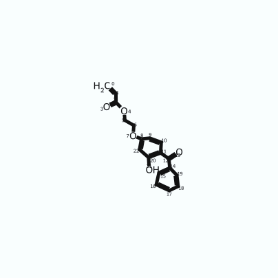 C=CC(=O)OCCOc1ccc(C(=O)c2ccccc2)c(O)c1